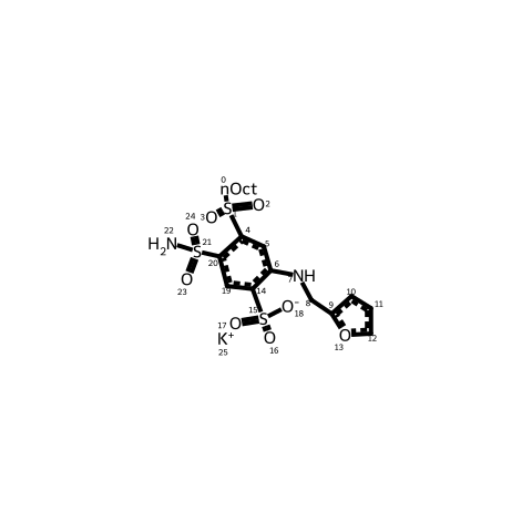 CCCCCCCCS(=O)(=O)c1cc(NCc2ccco2)c(S(=O)(=O)[O-])cc1S(N)(=O)=O.[K+]